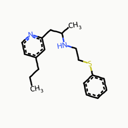 CCCc1ccnc(CC(C)NCCSc2ccccc2)c1